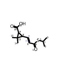 CC(C)SC(=O)/C=C/C1C(C(=O)O)C1(C)C